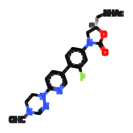 CC(=O)NC[C@H]1CN(c2ccc(-c3ccc(N4CCN(C=O)C=N4)nc3)c(F)c2)C(=O)O1